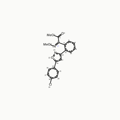 CO/N=C(\C(=O)OC)c1ccccc1-c1cc(-c2ccc(Cl)cc2)on1